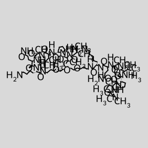 CC[C@H](C)[C@H](NC(=O)[C@@H]1CCCN1C(=O)C(NC(=O)[C@H](C)NC)C(C)C)C(=O)N[C@@H](C)C(=O)NC(CCC(N)=O)C(=O)N[C@@H](CCCCCN)C(=O)NCCCOCCOCCOCCCNC(=O)[C@H](CCCCN)NC(=O)C(CCC(N)=O)NC(=O)[C@H](C)NC(=O)[C@@H](NC(=O)[C@@H]1CCCN1C(=O)[C@@H](NC(=O)[C@H](C)NC)C(C)C)[C@@H](C)CC